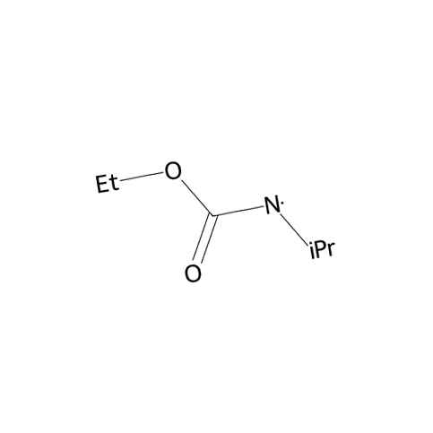 CCOC(=O)[N]C(C)C